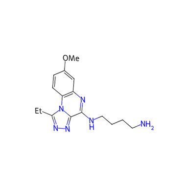 CCc1nnc2c(NCCCCN)nc3cc(OC)ccc3n12